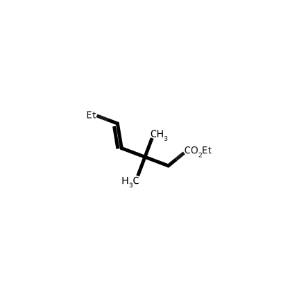 CCC=CC(C)(C)CC(=O)OCC